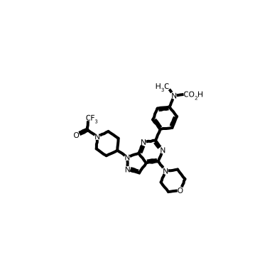 CN(C(=O)O)c1ccc(-c2nc(N3CCOCC3)c3cnn(C4CCN(C(=O)C(F)(F)F)CC4)c3n2)cc1